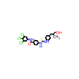 C/C(=C\c1ccc(NC(=S)Nc2ccc(C(=O)Nc3cc(Cl)c(Cl)c(Cl)c3)cc2)cc1)CO